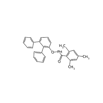 Cc1cc(C)c(C(=O)POc2cccc(-c3ccccc3)c2-c2ccccc2)c(C)c1